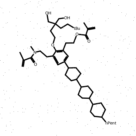 C=C(C)C(=O)OCCc1cc(C2CCC(C3CCC(C4CCC(CCCCC)CC4)CC3)CC2)cc(CCN(C)C(=O)C(=C)C)c1OCCC(CO)(CO)CCC(C)(C)C